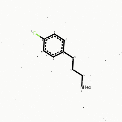 CCCCCCCCCc1ccc(F)cc1